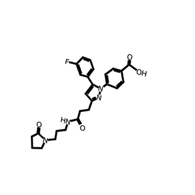 O=C(CCc1cc(-c2cccc(F)c2)n(-c2ccc(C(=O)O)cc2)n1)NCCCN1CCCC1=O